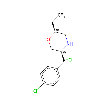 Cl.FC(F)(F)C[C@H]1CN[C@@H](Cc2ccc(Cl)cc2)CO1